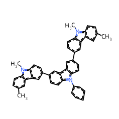 Cc1ccc2c(c1)c1cc(-c3ccc4c(c3)c3cc(-c5ccc6c(c5)c5cc(C)ccc5n6C)ccc3n4-c3ccccc3)ccc1n2C